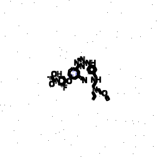 C#COCCN(CCC)CCNCc1ccc(Nc2ncnc(C3=C/C/C=C(/O[C@H]4CCN(C(=O)[C@H](C)O)C[C@H]4F)C/C(C#N)=C\3)n2)cc1